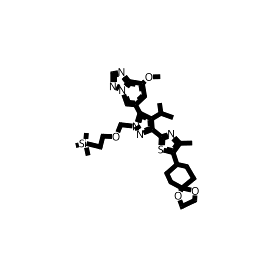 COc1cc(-c2c(C(C)C)c(-c3nc(C)c(C4CCC5(CC4)OCCO5)s3)nn2COCC[Si](C)(C)C)cn2ncnc12